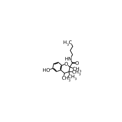 CCCCNC(=O)C1(C)Oc2ccc(O)cc2C(C)C1(C)C